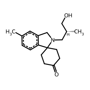 Cc1ccc2c(c1)CN(C[C@@H](C)CO)C21CCC(=O)CC1